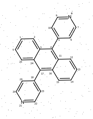 c1ccc2c(-c3ccncc3)c3ccccc3c(-c3ccncc3)c2c1